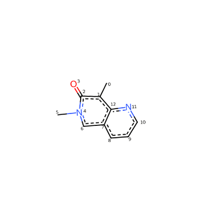 Cc1c(=O)n(C)cc2cccnc12